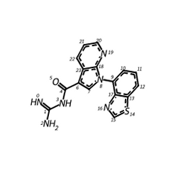 N=C(N)NC(=O)c1cn(-c2cccc3scnc23)c2ncccc12